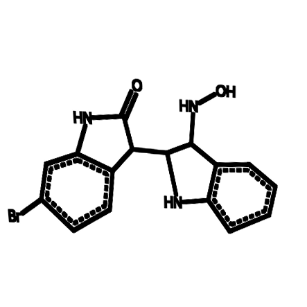 O=C1Nc2cc(Br)ccc2C1C1Nc2ccccc2C1NO